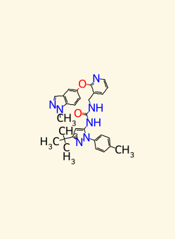 Cc1ccc(-n2nc(C(C)(C)C)cc2NC(=O)NCc2cccnc2Oc2ccc3c(cnn3C)c2)cc1